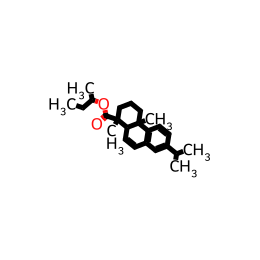 CCC(C)OC(=O)C1(C)CCCC2(C)c3ccc(C(C)C)cc3C=CC12